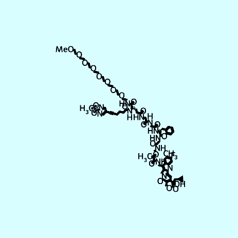 COCCOCCOCCOCCOCCOCCOCCOCCNC(=O)[C@H](CCC(=O)NCC(=O)NCC(=O)N[C@@H](Cc1ccccc1)C(=O)NCC(=O)NCO[C@H](C)C(=O)NCc1c2c(nc3cc(F)c(C)cc13)-c1cc3c(c(=O)n1C2)COC(=O)[C@]3(O)CC1CC1)NC(=O)CCCC#Cc1cnc(S(C)(=O)=O)nc1